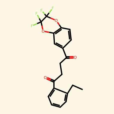 CCc1ccccc1C(=O)CCC(=O)c1ccc2c(c1)OC(F)(F)C(F)(F)O2